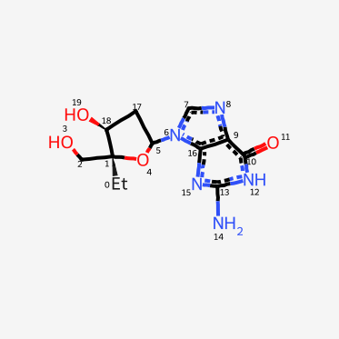 CC[C@]1(CO)OC(n2cnc3c(=O)[nH]c(N)nc32)C[C@@H]1O